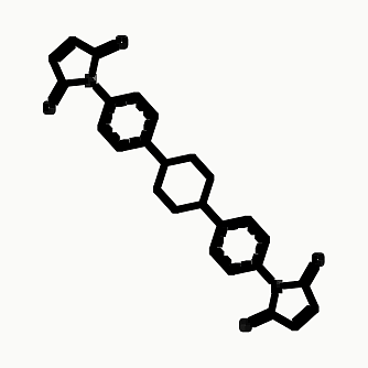 O=C1C=CC(=O)N1c1ccc(C2CCC(c3ccc(N4C(=O)C=CC4=O)cc3)CC2)cc1